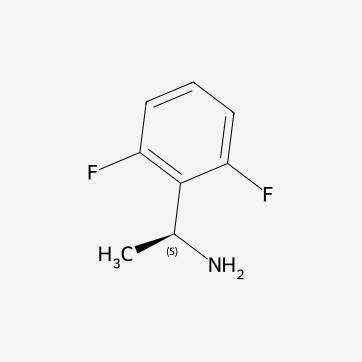 C[C@H](N)c1c(F)cccc1F